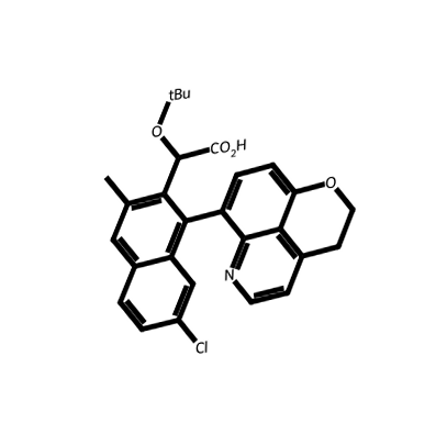 Cc1cc2ccc(Cl)cc2c(-c2ccc3c4c(ccnc24)CCO3)c1C(OC(C)(C)C)C(=O)O